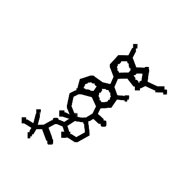 Nc1nc2c(-c3c(F)cc4c5c3ccn5CC[C@H]3C(OC(=O)C(F)(F)F)NCCN3C4=O)ccc(F)c2s1